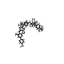 CSc1ccc(-c2ccc(C=C3SC(Nc4ccc(CC(=O)NS(=O)(=O)c5ccc(C(F)(F)F)cc5)cc4)=NC3=O)c(F)c2)cc1.[NaH]